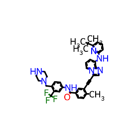 Cc1ccc(C(=O)Nc2ccc(CN3CCNCC3)c(C(F)(F)F)c2)cc1C#Cc1cnc2c(Nc3cccc(C(C)(C)C)n3)cccn12